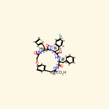 O=C1COc2ccc(cc2)C[C@@H](C(=O)O)NC(=O)[C@H](Cc2ccccc2)NC(=O)[C@H](Cc2ccc(F)cc2)NC(=O)[C@H](Cc2cccs2)N1